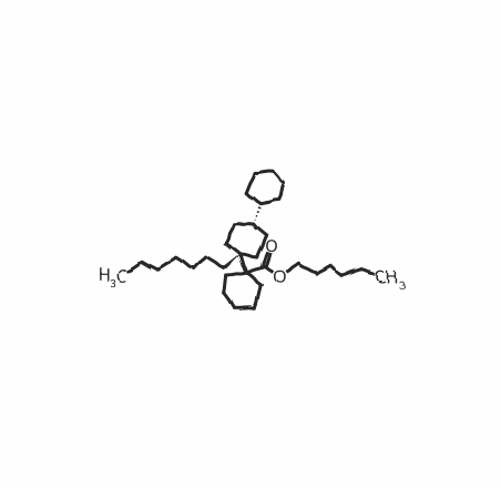 CCCCCCC[C@]1(C2(C(=O)OCCCCCC)CCCCC2)CC[C@@H](C2CCCCC2)CC1